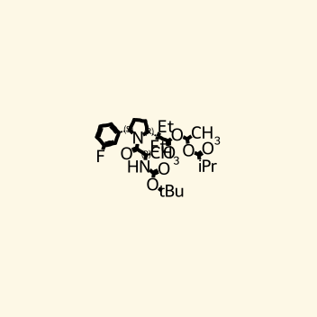 CCC(CC)(C(=O)OC(C)OC(=O)C(C)C)[C@H]1CC[C@@H](c2cccc(F)c2)N1C(=O)[C@@H](C)NC(=O)OC(C)(C)C